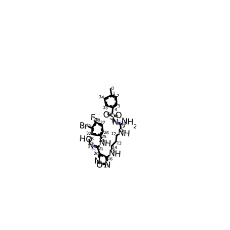 Cc1ccc(S(=O)(=O)/N=C(\N)NCCCNc2nonc2/C(=N/O)Nc2ccc(F)c(Br)c2)cc1